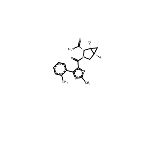 Cc1nc(C(=O)N2C[C@@H]3C[C@@H]3[C@H]2C(N)=O)c(-c2ccccc2C)s1